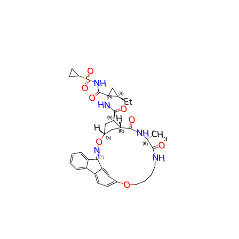 CC[C@@H]1C[C@]1(NC(=O)[C@@H]1C[C@@H]2C[C@H]1C(=O)N[C@H](C)C(=O)NCCCCOc1ccc3c(c1)/C(=N\O2)c1ccccc1-3)C(=O)NS(=O)(=O)C1CC1